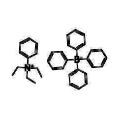 CC[N+](CC)(CC)c1ccccc1.c1ccc([B-](c2ccccc2)(c2ccccc2)c2ccccc2)cc1